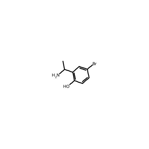 CC(N)c1cc(Br)ccc1O